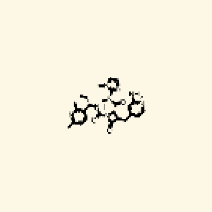 CC[C@H](NC(=O)N1C(=O)C(Cc2ccnc(N)c2)[C@H]1C(=O)N(C)c1nccn1C)c1ccc(C)nc1C